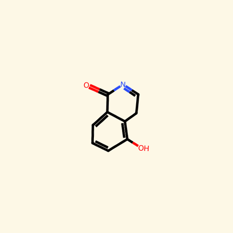 O=C1N=CCc2c(O)cccc21